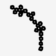 C1=CC(c2ccc(-c3ccccc3)cc2)CC=C1c1ccc(-n2c3ccccc3c3c4c5ccccc5c(-c5ccc(-c6ccc7c8ccc(-c9cccc(-n%10c%11ccccc%11c%11c%12c%13ccccc%13c(-c%13ccccc%13)cc%12c%12ccccc%12c%11%10)c9)cc8c8ccccc8c7c6)cc5)cc4c4ccccc4c32)cc1